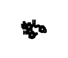 Cc1cccc(Nc2nc(NCCN3CCOCC3)nc3c2cnn3C)c1